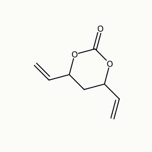 C=CC1CC(C=C)OC(=O)O1